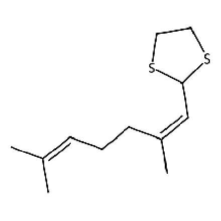 CC(C)=CCCC(C)=CC1SCCS1